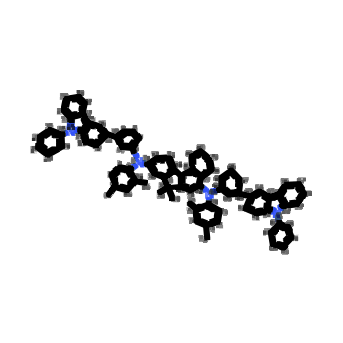 Cc1ccc(N(c2cccc(-c3ccc4c(c3)c3ccccc3n4-c3ccccc3)c2)c2ccc3c(c2)C(C)(C)c2cc(N(c4cccc(-c5ccc6c(c5)c5ccccc5n6-c5ccccc5)c4)c4ccc(C)cc4C)c4ccccc4c2-3)c(C)c1